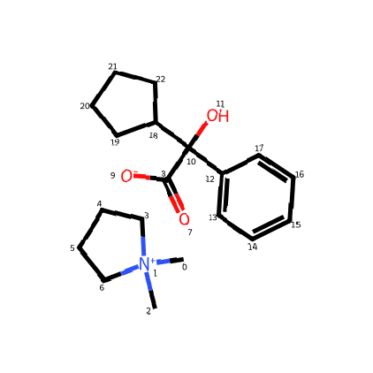 C[N+]1(C)CCCC1.O=C([O-])C(O)(c1ccccc1)C1CCCC1